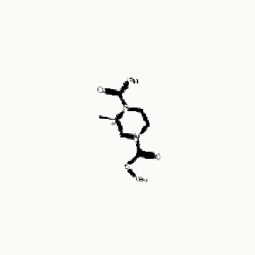 CCC(C)C(=O)N1CCN(C(=O)OC(C)(C)C)C[C@H]1C